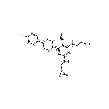 N#Cc1c(NCCO)nc(NCC2CC2)nc1N1CCN(c2ccc(F)cc2)CC1